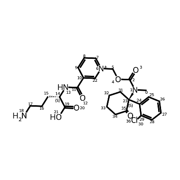 CN(C(=O)OC[n+]1cccc(C(=O)N[C@@H](CCCN)C(=O)O)c1)[C@]1(c2ccccc2Cl)CCCCC1=O